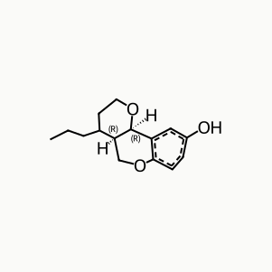 CCCC1CCO[C@H]2c3cc(O)ccc3OC[C@@H]12